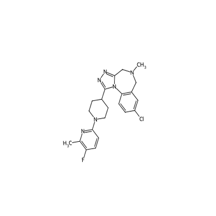 Cc1nc(N2CCC(c3nnc4n3-c3ccc(Cl)cc3CN(C)C4)CC2)ccc1F